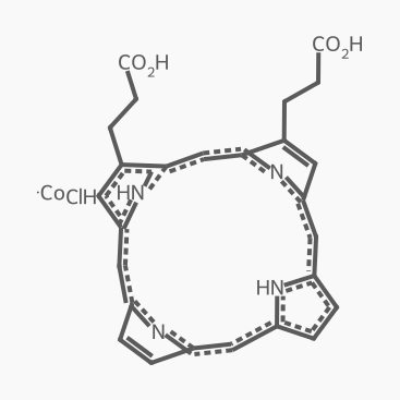 Cl.O=C(O)CCC1=Cc2cc3ccc(cc4nc(cc5cc(CCC(=O)O)c(cc1n2)[nH]5)C=C4)[nH]3.[Co]